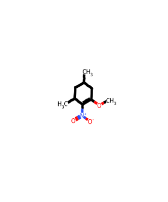 COC1=C([N+](=O)[O-])C(C)CC(C)C1